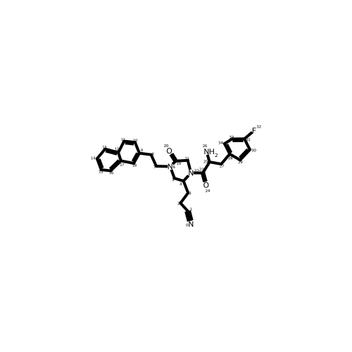 N#CCCC1CN(CCc2ccc3ccccc3c2)C(=O)CN1C(=O)C(N)Cc1ccc(F)cc1